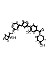 O=C(c1ccc(-c2cc(-c3ccnc(OCC4(O)COC4)c3)cs2)c(Cl)c1)N1CCC(O)CC1